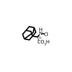 O=C(O)[C@@H](NCl)C12CC3CC(CC(C3)C1)C2